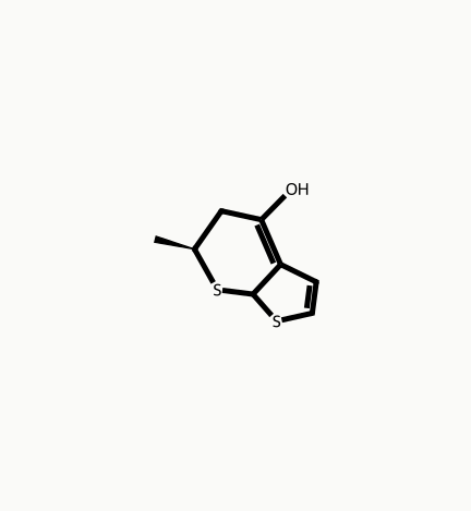 C[C@H]1CC(O)=C2C=CSC2S1